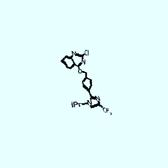 CC(C)n1cc(C(F)(F)F)nc1-c1ccc(COc2nc(Cl)nc3ccccc23)cc1